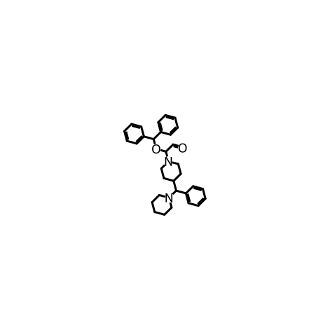 O=CC(OC(c1ccccc1)c1ccccc1)N1CCC(C(c2ccccc2)N2CCCCC2)CC1